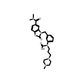 CN1CCN(CCCN(C(=O)O)c2cccc(Cn3c(=O)oc4ccc(C(=O)N(C)C)cc43)c2)CC1